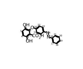 O=C(O)c1c(O)ccc(O)c1Oc1ccc(N=Nc2ccccc2)cc1